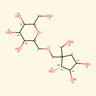 OCC1OC(COCC2(CO)CC(O)C(O)[C@@H]2O)C(O)C(O)C1O